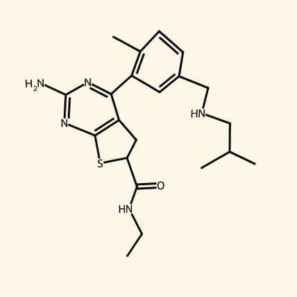 CCNC(=O)C1Cc2c(nc(N)nc2-c2cc(CNCC(C)C)ccc2C)S1